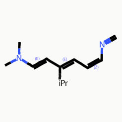 C=N\C=C/C=C(/C=C/N(C)C)C(C)C